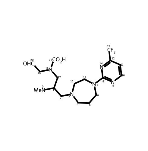 CNC(CN1CCCN(c2nccc(C(F)(F)F)n2)CC1)CN(CC=O)C(=O)O